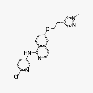 Cn1cc(CCOc2ccc3c(Nc4ccc(Cl)nc4)nccc3c2)cn1